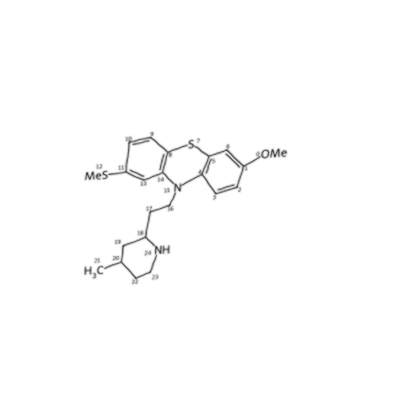 COc1ccc2c(c1)Sc1ccc(SC)cc1N2CCC1CC(C)CCN1